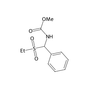 CCS(=O)(=O)C(NC(=O)OC)c1ccccc1